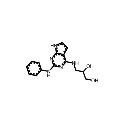 OCC(O)CNc1nc(Nc2ccccc2)nc2[nH]ccc12